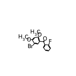 COc1cc(OC)c(C(=O)c2ccccc2F)cc1Br